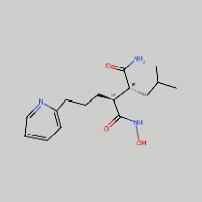 CC(C)C[C@@H](C(N)=O)[C@H](CCCc1ccccn1)C(=O)NO